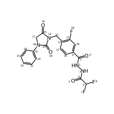 O=C(NNC(=O)C(F)F)c1ccc(CN2C(=O)CN(c3ccccc3)C2=O)c(F)c1